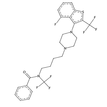 O=C(c1ccccc1)N(CCCCN1CCN(c2c(C(F)(F)F)sc3cccc(F)c23)CC1)C(F)(F)F